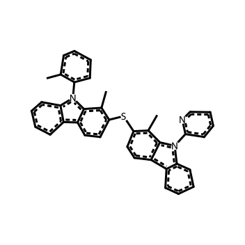 Cc1ccccc1-n1c2ccccc2c2ccc(Sc3ccc4c5ccccc5n(-c5ccccn5)c4c3C)c(C)c21